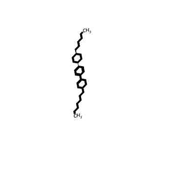 CCCCCCCC1CC=C(c2ccc([C@H]3CC[C@H](CCCCCC)CC3)cc2)CC1